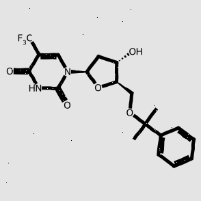 CC(C)(OC[C@H]1O[C@@H](n2cc(C(F)(F)F)c(=O)[nH]c2=O)C[C@@H]1O)c1ccccc1